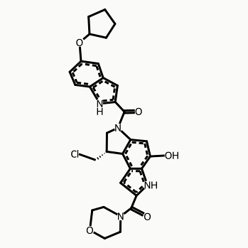 O=C(c1cc2c3c(cc(O)c2[nH]1)N(C(=O)c1cc2cc(OC4CCCC4)ccc2[nH]1)C[C@H]3CCl)N1CCOCC1